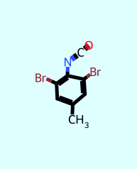 Cc1cc(Br)c(N=C=O)c(Br)c1